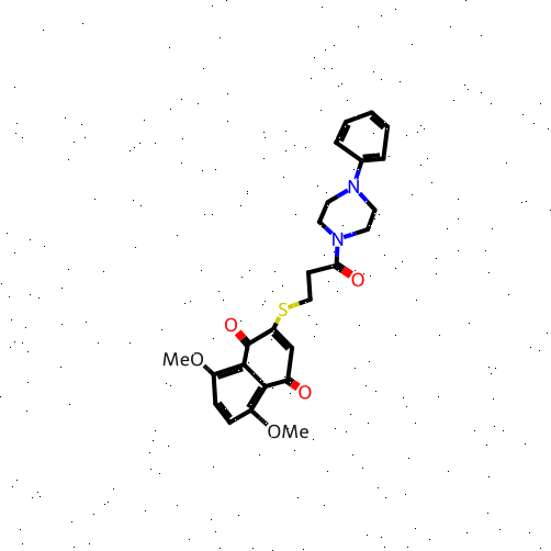 COc1ccc(OC)c2c1C(=O)C=C(SCCC(=O)N1CCN(c3ccccc3)CC1)C2=O